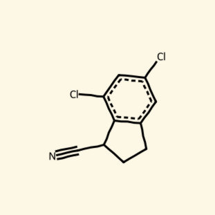 N#CC1CCc2cc(Cl)cc(Cl)c21